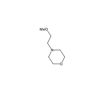 [C]OCCN1CCOCC1